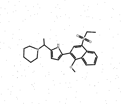 CCS(=O)(=O)c1cc(-c2ccc(C(C)N3CCCCC3)[nH]2)c(OC)c2ccccc12